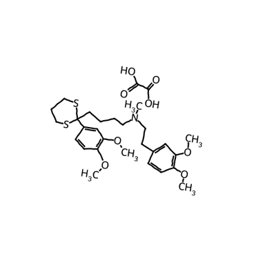 COc1ccc(CCN(C)CCCCC2(c3ccc(OC)c(OC)c3)SCCCS2)cc1OC.O=C(O)C(=O)O